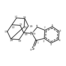 S=C1c2ccccc2CN1C12CC3CC(CC(C3)C1)C2